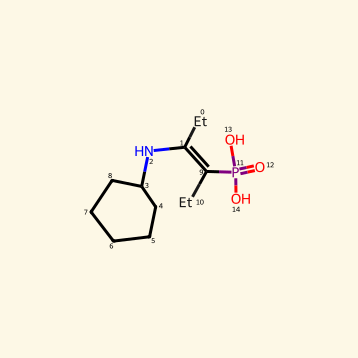 CCC(NC1CCCCC1)=C(CC)P(=O)(O)O